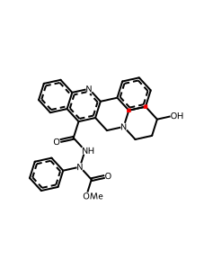 COC(=O)N(NC(=O)c1c(CN2CCC(O)CC2)c(-c2ccccc2)nc2ccccc12)c1ccccc1